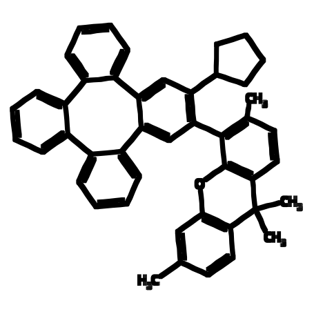 Cc1ccc2c(c1)Oc1c(ccc(C)c1-c1cc3c(cc1C1CCCC1)-c1ccccc1-c1ccccc1-c1ccccc1-3)C2(C)C